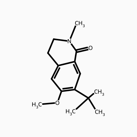 COc1cc2c(cc1C(C)(C)C)C(=O)N(C)CC2